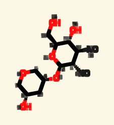 O=N[C@@H]1[C@@H](O[C@H]2COC[C@@H](O)C2)O[C@@H](CO)[C@H](O)[C@H]1N=O